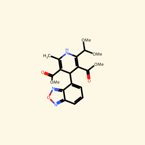 COC(=O)C1=C(C)NC(C(OC)OC)=C(C(=O)OC)C1c1cccc2nonc12